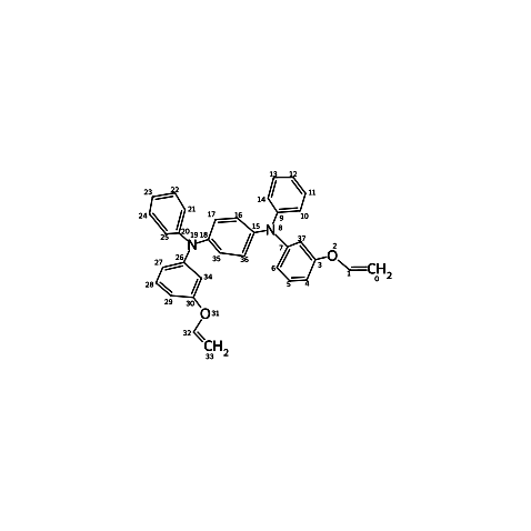 C=COc1cccc(N(c2ccccc2)c2ccc(N(c3ccccc3)c3cccc(OC=C)c3)cc2)c1